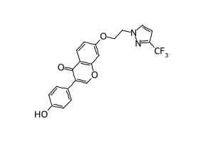 O=c1c(-c2ccc(O)cc2)coc2cc(OCCn3ccc(C(F)(F)F)n3)ccc12